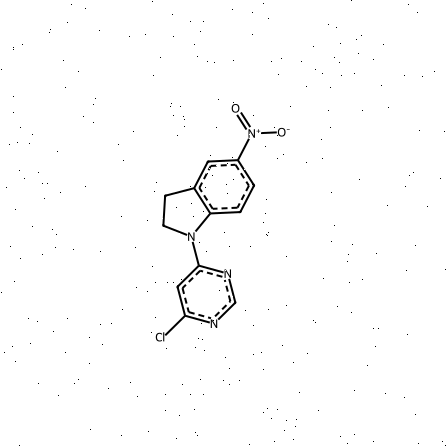 O=[N+]([O-])c1ccc2c(c1)CCN2c1cc(Cl)ncn1